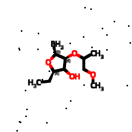 B[C@@H]1O[C@H](CC)C(O)[C@@H]1OC(C)COC